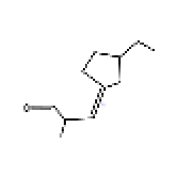 CCC1CC/C(=C\C(C)C=O)C1